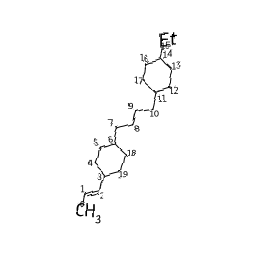 C/C=C/C1CCC(CCCCC2CCC(CC)CC2)CC1